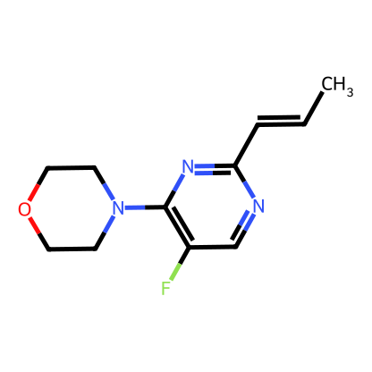 C/C=C/c1ncc(F)c(N2CCOCC2)n1